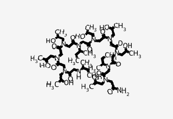 CCC(C)NCC(=O)N(CC(=O)N(CC(=O)N(CC(=O)N(CC(=O)N(CC(=O)N(CC(=O)N(CC(=O)N(CC(=O)N(CC(N)=O)CC(C)O)C(C)CC)CC(C)O)CC(C)O)CC(C)O)C(C)CC)CC(C)O)CC(C)O)CC(C)O